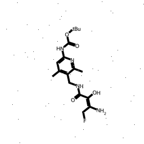 Cc1cc(NC(=O)OC(C)(C)C)nc(C)c1CNC(=O)/C(O)=C(/N)CF